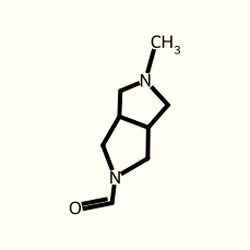 CN1CC2CN(C=O)CC2C1